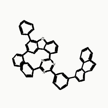 c1ccc(-c2cc(-c3ccccc3)c3oc4cccc(-c5nc(-c6ccccc6)nc(-c6cccc(-c7ccc8ccc9ccccc9c8c7)c6)n5)c4c3c2)cc1